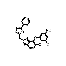 [C-]#[N+]c1cc(Cl)cc(Oc2c(Cl)ccc3nn(Cc4nnc(-c5ccccc5)o4)nc23)c1